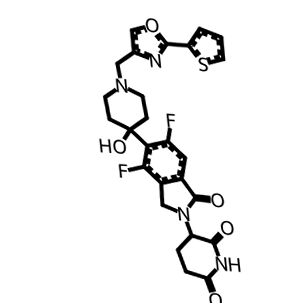 O=C1CCC(N2Cc3c(cc(F)c(C4(O)CCN(Cc5coc(-c6cccs6)n5)CC4)c3F)C2=O)C(=O)N1